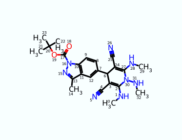 CNC1=C(C#N)C(c2ccc3c(c2)c(C)nn3C(=O)OC(C)(C)C)C(C#N)=C(NC)N1NC